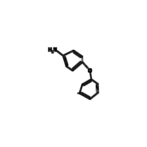 Nc1ccc(Oc2c[c]ccc2)cc1